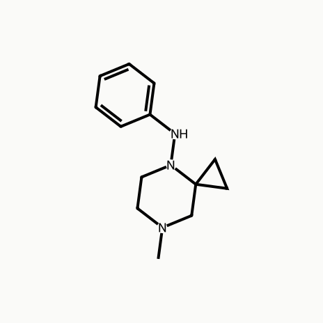 CN1CCN(Nc2ccccc2)C2(CC2)C1